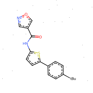 CC(C)(C)c1ccc(-c2ccc(NC(=O)c3cnoc3)s2)cc1